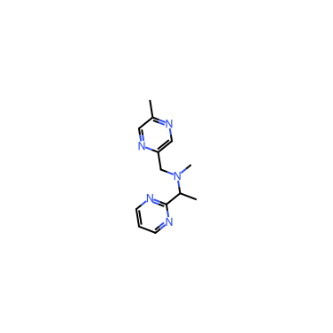 Cc1cnc(CN(C)C(C)c2ncccn2)cn1